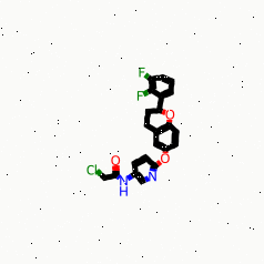 O=C(CCl)Nc1ccc(Oc2ccc3c(c2)CCC(c2cccc(F)c2F)O3)nc1